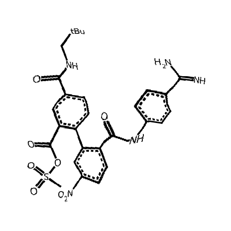 CC(C)(C)CNC(=O)c1ccc(-c2cc([N+](=O)[O-])ccc2C(=O)Nc2ccc(C(=N)N)cc2)c(C(=O)OS(C)(=O)=O)c1